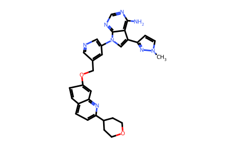 Cn1ccc(-c2cn(-c3cncc(COc4ccc5ccc(C6CCOCC6)nc5c4)c3)c3ncnc(N)c23)n1